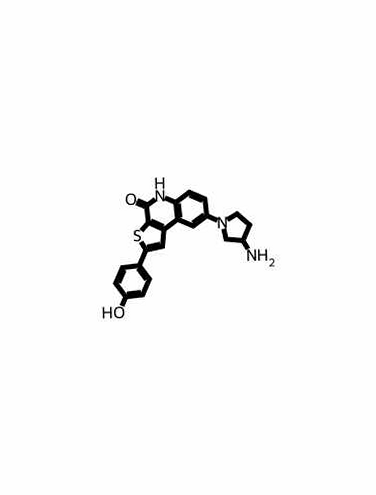 NC1CCN(c2ccc3[nH]c(=O)c4sc(-c5ccc(O)cc5)cc4c3c2)C1